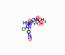 CC(C)(C(=O)O)C(=O)N1CCC(Oc2nc3nc(-c4ccc(N5CCOCC5)cc4)c(Cl)cc3[nH]2)CC1